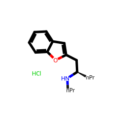 CCCN[C@H](CCC)Cc1cc2ccccc2o1.Cl